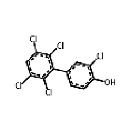 Oc1ccc(-c2c(Cl)c(Cl)cc(Cl)c2Cl)cc1Cl